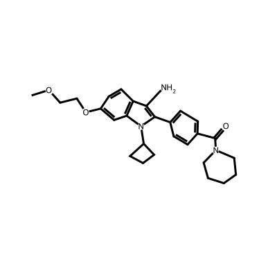 COCCOc1ccc2c(N)c(-c3ccc(C(=O)N4CCCCC4)cc3)n(C3CCC3)c2c1